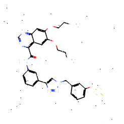 COCCOc1cc2ncnc(C(=O)Nc3cccc(-c4cn(Cc5cccc(OS(=O)(=O)F)c5)nn4)c3)c2cc1OCCOC